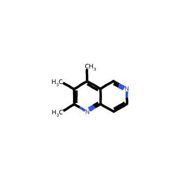 Cc1nc2ccncc2c(C)c1C